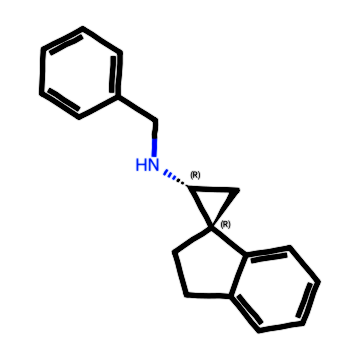 c1ccc(CN[C@@H]2C[C@@]23CCc2ccccc23)cc1